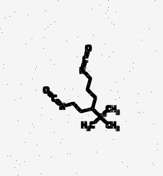 C[N+](C)(C)C(CCCN=C=O)CCN=C=O